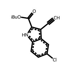 C#Cc1c(C(=O)OCC(C)C)[nH]c2ccc(Cl)cc12